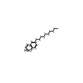 CCCCCCCCCCc1ccc(O)c(/C=N\O)c1